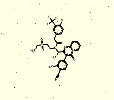 CCS(=O)(=O)CCN(C(=O)Cc1ccc(F)c(C(F)(F)F)c1)[C@H](C)c1nc2ccccn2c(=O)c1-c1ccc(C#N)c(C)c1